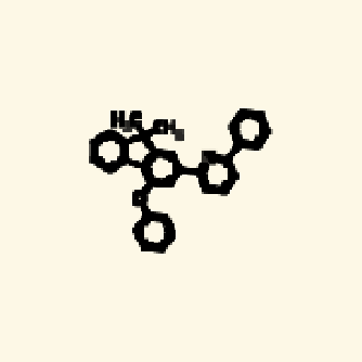 CC1(C)c2ccccc2-c2c(Oc3ccccc3)cc(-c3cccc(-c4ccccc4)n3)cc21